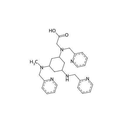 CN(Cc1ccccn1)C1CC(NCc2ccccn2)CC(N(CC(=O)O)Cc2ccccn2)C1